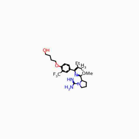 CC/C(C)=C(/N=C(\OC)C1CCCN1C(=N)N)c1ccc(OCCCCO)c(C(F)(F)F)c1